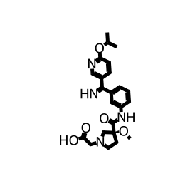 CO[C@@]1(C(=O)Nc2cccc(C(=N)c3ccc(OC(C)C)nc3)c2)CCN(CC(=O)O)C1